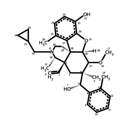 C=C[C@]12C[C@](C)([C@@H](O)c3ccccc3C)C(OC)[C@@H]3Oc4c(O)ccc(C)c4[C@@]31CCN(CC1CC1)[C@H]2C